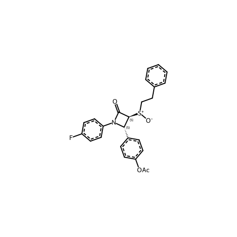 CC(=O)Oc1ccc([C@H]2[C@H]([S+]([O-])CCc3ccccc3)C(=O)N2c2ccc(F)cc2)cc1